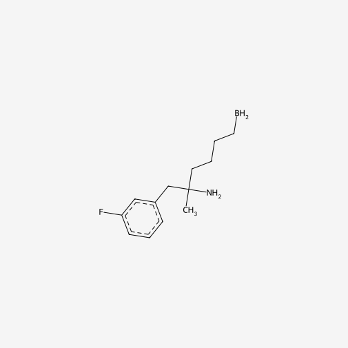 BCCCCC(C)(N)Cc1cccc(F)c1